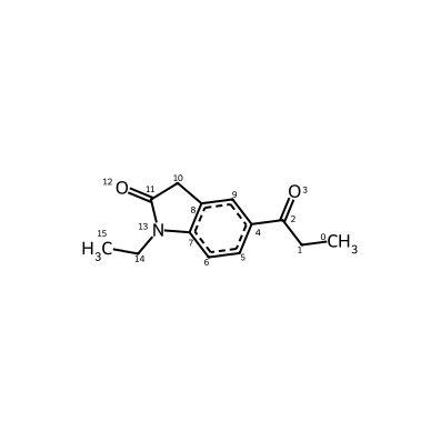 CCC(=O)c1ccc2c(c1)CC(=O)N2CC